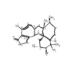 C[C@H]1CC[C@H]2C(C)(C)[C@@H](Br)[C@H](Cl)C[C@]23Oc2c(cc(O)c4c2CNC4=O)C[C@]13C